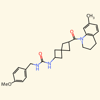 COc1ccc(CNC(=O)NC2CC3(C2)CC(C(=O)N2CCCc4ccc(C)cc42)C3)cc1